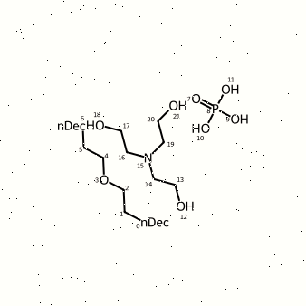 CCCCCCCCCCCCOCCCCCCCCCCCC.O=P(O)(O)O.OCCN(CCO)CCO